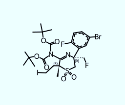 CC(C)(C)OC(=O)N(C(=O)OC(C)(C)C)C1=N[C@@](CF)(c2cc(Br)ccc2F)CS(=O)(=O)[C@]1(C)CCI